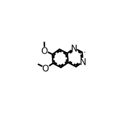 COc1cc2cn[c]nc2cc1OC